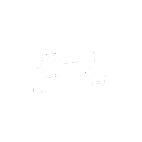 CC1OC=CC1(C)C(=O)c1cccc(N)c1